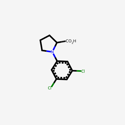 O=C(O)C1CCCN1c1cc(Cl)cc(Cl)c1